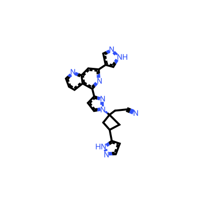 N#CCC1(n2ccc(-c3nc(-c4cn[nH]c4)cc4ncccc34)n2)CC(c2ccn[nH]2)C1